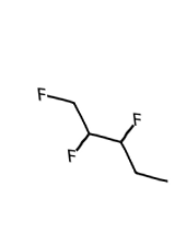 CCC(F)C(F)CF